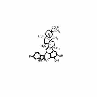 Cc1c(O)c(O)cc2c1C(c1c[nH]c3cc(F)ccc13)C=C1[C@@]2(C)CC[C@@]2(C)[C@@H]3C[C@](C)(C(=O)O)CC[C@]3(C)CC[C@]12C